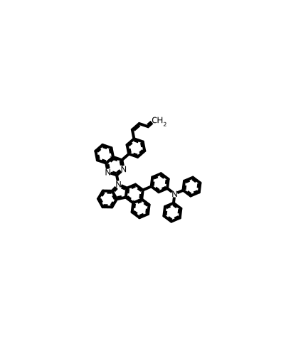 C=C/C=C\c1cccc(-c2nc(-n3c4ccccc4c4c5ccccc5c(-c5cccc(N(c6ccccc6)c6ccccc6)c5)cc43)nc3ccccc23)c1